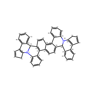 C1=CC2=C(C1)N1c3ccccc3-c3c(ccc4c5c(ccc34)C3c4ccccc4C4=C(CC=C4)N3c3ccccc3-5)C1c1ccccc12